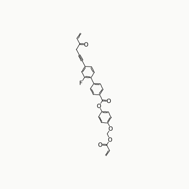 C=CC(=O)CC#Cc1ccc(-c2ccc(C(=O)Oc3ccc(OCOC(=O)C=C)cc3)cc2)c(F)c1